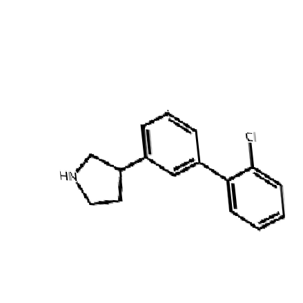 Clc1ccccc1-c1c[c]cc(C2CCNC2)c1